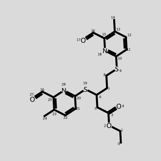 CCOC(=O)CC(CCSc1ccc(C)c(C=O)n1)Sc1ccc(C)c(C=O)n1